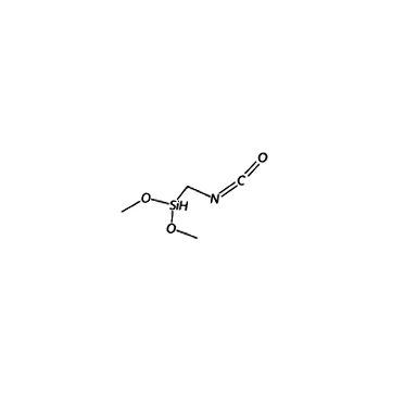 CO[SiH](CN=C=O)OC